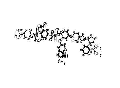 Cc1cc2cc(Oc3cc(N4CCC5(CC4)CN([C@@H]4CCC[C@@H]4c4ccccc4C(C)C)C5)ccc3C(=O)NS(=O)(=O)c3cc4c(c([N+](=O)[O-])c3)N[C@@H](C3CCC(C)(C)CC3)CO4)cnc2[nH]1